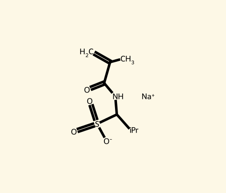 C=C(C)C(=O)NC(C(C)C)S(=O)(=O)[O-].[Na+]